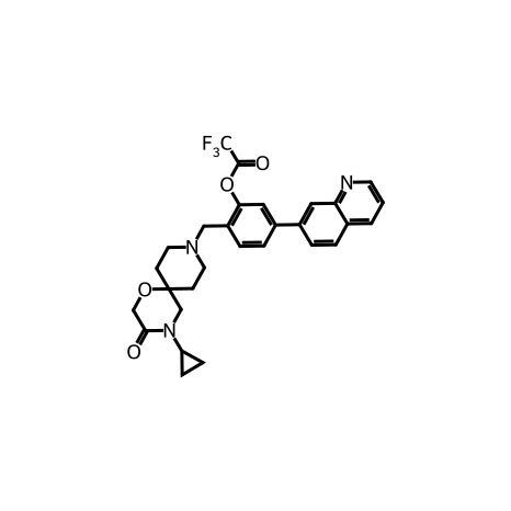 O=C1COC2(CCN(Cc3ccc(-c4ccc5cccnc5c4)cc3OC(=O)C(F)(F)F)CC2)CN1C1CC1